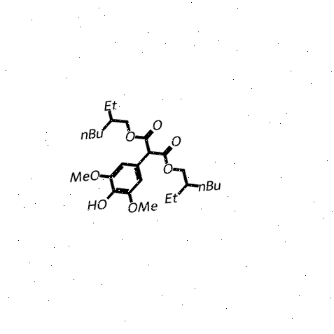 CCCCC(CC)COC(=O)C(C(=O)OCC(CC)CCCC)c1cc(OC)c(O)c(OC)c1